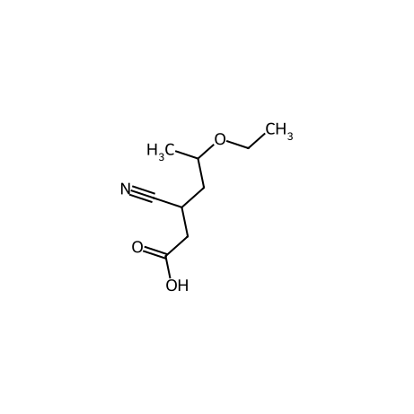 CCOC(C)CC(C#N)CC(=O)O